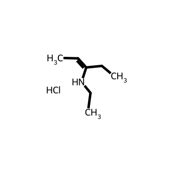 CC=C(CC)NCC.Cl